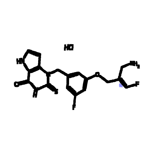 Cl.NC/C(=C\F)COc1cc(F)cc(Cn2c(=S)[nH]c(=O)c3[nH]ccc32)c1